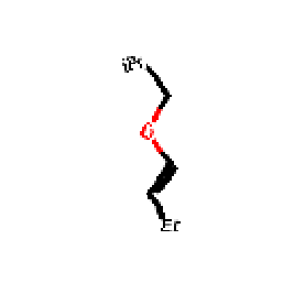 CCC=COCC(C)C